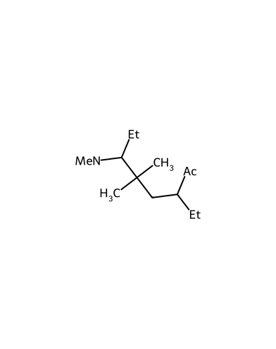 CCC(CC(C)(C)C(CC)NC)C(C)=O